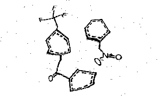 O=C(c1ccccc1)c1ccc(C(F)(F)F)cc1.O=[N+]([O-])c1ccccc1